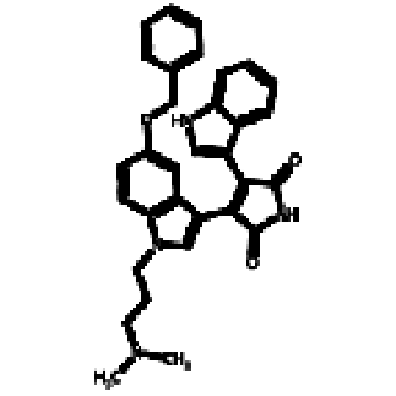 CN(C)CCCn1cc(C2=C(c3c[nH]c4ccccc34)C(=O)NC2=O)c2cc(OCc3ccccc3)ccc21